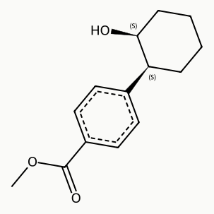 COC(=O)c1ccc([C@@H]2CCCC[C@@H]2O)cc1